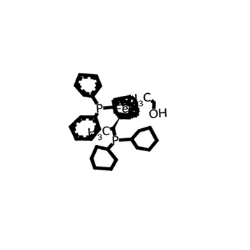 CC(P(C1CCCCC1)C1CCCCC1)[C@@]12[CH]3[CH]4[CH]5[C]1(P(c1ccccc1)c1ccccc1)[Fe]45321678[CH]2[CH]1[CH]6[CH]7[CH]28.CCO